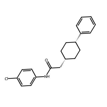 O=C(C[C@H]1CC[C@@H](c2ccccc2)CC1)Nc1ccc(Cl)cc1